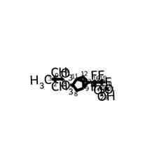 CC(C)(C)C(=O)OC1CC2CC1CC2C(F)(F)C(F)(F)S(=O)(=O)O